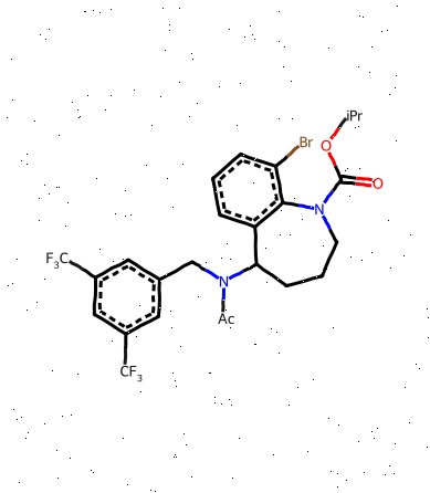 CC(=O)N(Cc1cc(C(F)(F)F)cc(C(F)(F)F)c1)C1CCCN(C(=O)OC(C)C)c2c(Br)cccc21